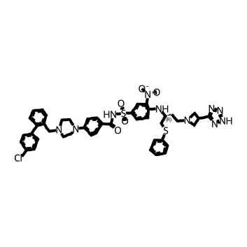 O=C(NS(=O)(=O)c1ccc(N[C@H](CCN2CC(c3nn[nH]n3)C2)CSc2ccccc2)c([N+](=O)[O-])c1)c1ccc(N2CCN(Cc3ccccc3-c3ccc(Cl)cc3)CC2)cc1